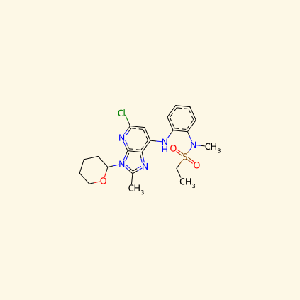 CCS(=O)(=O)N(C)c1ccccc1Nc1cc(Cl)nc2c1nc(C)n2C1CCCCO1